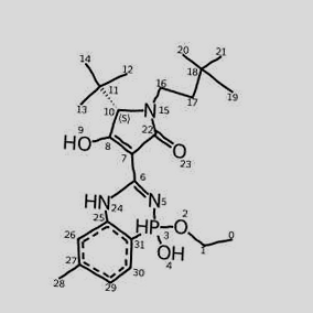 CCO[PH]1(O)N=C(C2=C(O)[C@H](C(C)(C)C)N(CCC(C)(C)C)C2=O)Nc2cc(C)ccc21